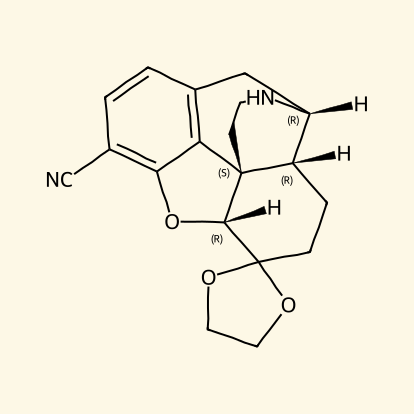 N#Cc1ccc2c3c1O[C@H]1C4(CC[C@H]5[C@@H](C2)NCC[C@@]351)OCCO4